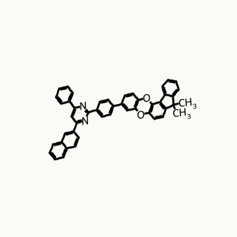 CC1(C)c2ccccc2-c2c1ccc1c2Oc2ccc(-c3ccc(-c4nc(-c5ccccc5)cc(-c5ccc6ccccc6c5)n4)cc3)cc2O1